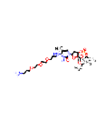 CC1=CN(C2CC(OP(=O)(O)OC(C)C)C(COC(C)C)O2)C(=O)NC1NCCCOCCOCCOCCCN